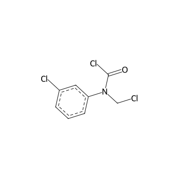 O=C(Cl)N(CCl)c1cccc(Cl)c1